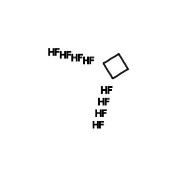 C1CCC1.F.F.F.F.F.F.F.F